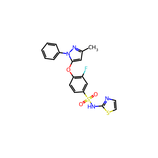 Cc1cc(Oc2ccc(S(=O)(=O)Nc3nccs3)cc2F)n(-c2ccccc2)n1